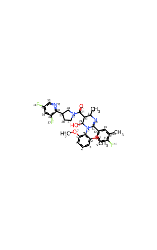 COc1cccc(OC)c1N1C(c2ccc(F)c(C)c2)=NC(C)C(C(=O)N2CCC(c3ncc(F)cc3F)C2)C1O